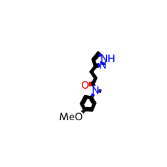 COc1ccc(N(C)C(=O)CCc2cc[nH]n2)cc1